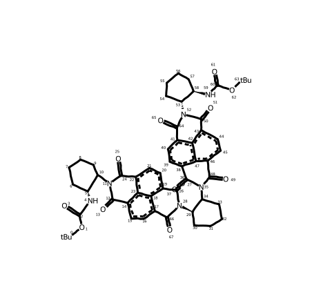 CC(C)(C)OC(=O)N[C@@H]1CCCCC1N1C(=O)c2ccc3c4c(ccc(c24)C1=O)C(=O)N([C@@H]1CCCCC1N1C(=O)c2ccc4c5c(ccc(c25)C1=O)C(=O)N([C@@H]1CCCC[C@H]1NC(=O)OC(C)(C)C)C4=O)C3=O